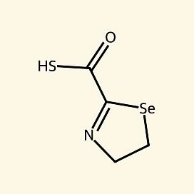 O=C(S)C1=NCC[Se]1